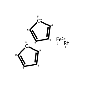 [Fe+2].[Rh].c1cc[cH-]c1.c1cc[cH-]c1